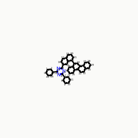 c1ccc(-c2nc(-c3ccccc3)nc(-c3ccc4cccc(-c5cc6c7ccccc7ccc6c6ccccc56)c4c3)n2)cc1